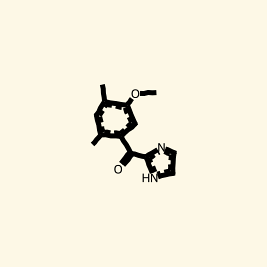 COc1cc(C(=O)c2ncc[nH]2)c(C)cc1C